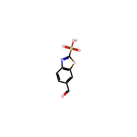 O=[C]c1ccc2nc(S(=O)(=O)O)sc2c1